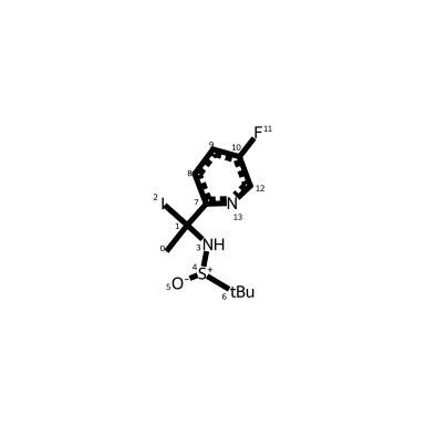 CC(I)(N[S+]([O-])C(C)(C)C)c1ccc(F)cn1